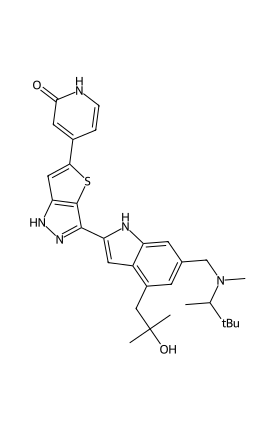 CC(N(C)Cc1cc(CC(C)(C)O)c2cc(-c3n[nH]c4cc(-c5cc[nH]c(=O)c5)sc34)[nH]c2c1)C(C)(C)C